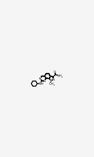 Cn1nc(C(N)=O)c2ccc3cnc(NC4CCCCC4)nc3c21